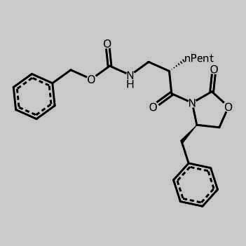 CCCCC[C@@H](CNC(=O)OCc1ccccc1)C(=O)N1C(=O)OC[C@H]1Cc1ccccc1